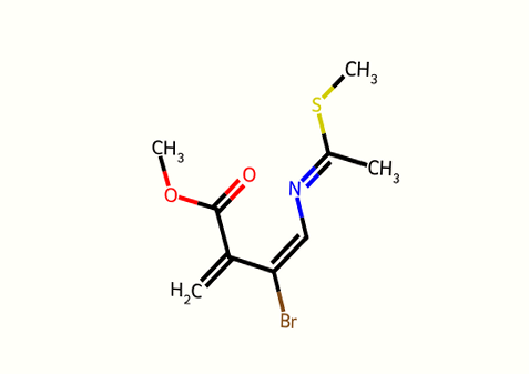 C=C(C(=O)OC)/C(Br)=C\N=C(/C)SC